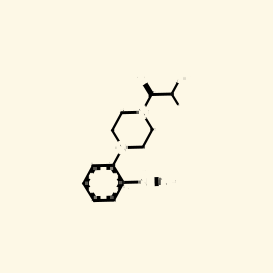 CCCCC(CC)C(=O)N1CCN(c2ccccc2[N+]#N)CC1